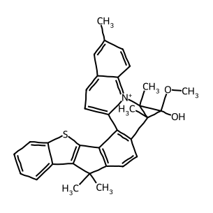 COC1(O)C2(C)c3ccc4c(c3-c3ccc5cc(C)ccc5[n+]3C12C)-c1sc2ccccc2c1C4(C)C